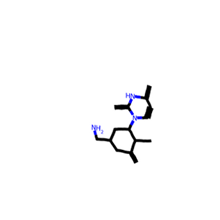 C=C1C#CN(C2CC(CN)CC(=C)C2C)C(=C)N1